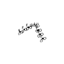 O=C([O-])F.O=C([O-])F.O=C([O-])F.O=C([O-])F.O=C([O-])F.O=C([O-])F.[Li+].[Li+].[Li+].[Li+].[Li+].[Li+]